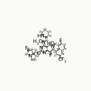 C#Cc1c(F)ccc2cc(C(F)(F)F)cc(-c3ncc4c(N(C)C[C@H]5CCCCN5)nc(OC[C@@]56CCCN5C[C@H](F)C6)nc4c3F)c12